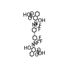 O=S(=O)(O)c1cc(/N=N/c2ccc(-c3ccc(/N=N/c4cc(S(=O)(=O)O)c5ccccc5c4O)c(C(F)(F)F)c3)cc2C(F)(F)F)c(O)c2ccccc12